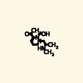 CNC(C)CN1CCC=C(C(C)=O)N1CO